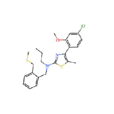 CCCN(Cc1ccccc1CSC)c1nc(-c2ccc(Cl)cc2OC)c(C)s1